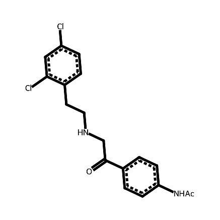 CC(=O)Nc1ccc(C(=O)CNCCc2ccc(Cl)cc2Cl)cc1